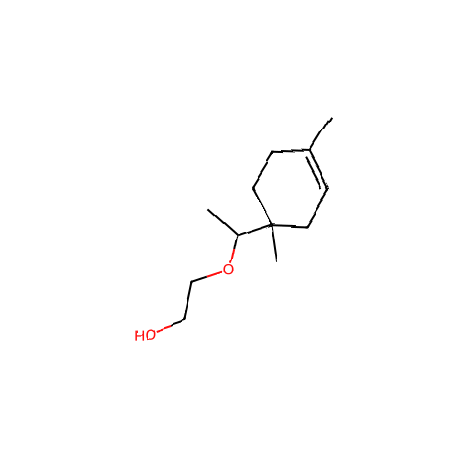 CC1=CCC(C)(C(C)OCCO)CC1